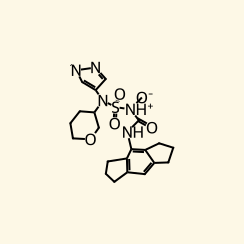 Cn1cc(N(C2CCCOC2)S(=O)(=O)[NH+]([O-])C(=O)Nc2c3c(cc4c2CCC4)CCC3)cn1